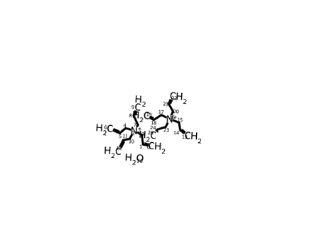 C=CC[N+](CC=C)(CC=C)CC=C.C=CC[N+](CC=C)(CC=C)CC=C.O